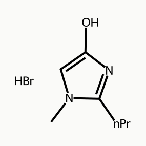 Br.CCCc1nc(O)cn1C